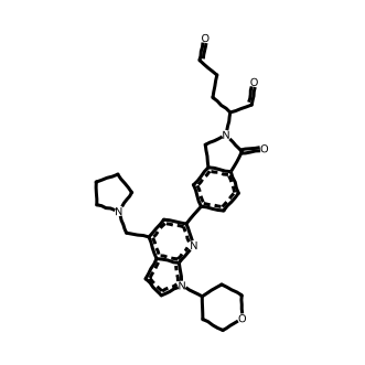 O=CCCC(C=O)N1Cc2cc(-c3cc(CN4CCCC4)c4ccn(C5CCOCC5)c4n3)ccc2C1=O